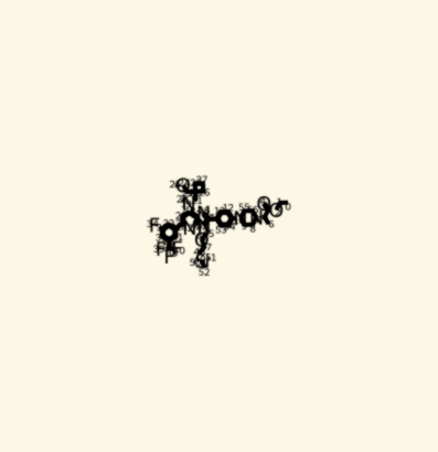 CCOC(=O)C(C)N1CCN(c2ccc(-c3nc4c(N(C)CC5(COC)CCC5)cc(-c5cc(F)cc(C(F)(F)F)c5)nc4n3COCC[Si](C)(C)C)cc2)CC1